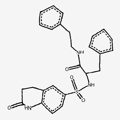 O=C1CCc2cc(S(=O)(=O)NC(Cc3ccccc3)C(=O)NCCc3ccccc3)ccc2N1